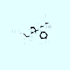 COCC(C)Nc1nccc(N(C(=O)NC(C)C)c2ccc(OC)cc2)n1